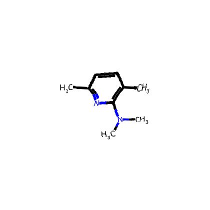 Cc1ccc(C)c(N(C)C)n1